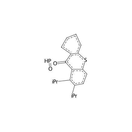 CC(C)c1ccc2sc3ccccc3c(=O)c2c1C(C)C.O=P